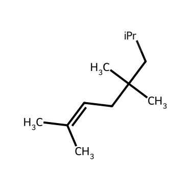 CC(C)=CCC(C)(C)CC(C)C